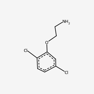 NCCOc1cc(Cl)ccc1Cl